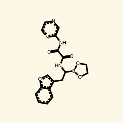 O=C(Nc1cnccn1)C(=O)NC(Cc1coc2ccccc12)B1OCCO1